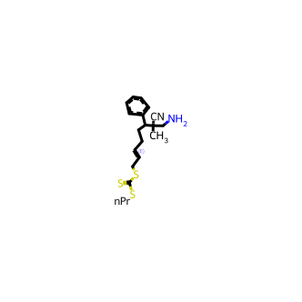 CCCSC(=S)SC/C=C/CCC(c1ccccc1)C(C)(C#N)CN